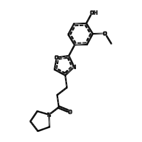 COc1cc(-c2nc(CCC(=O)N3CCCC3)co2)ccc1O